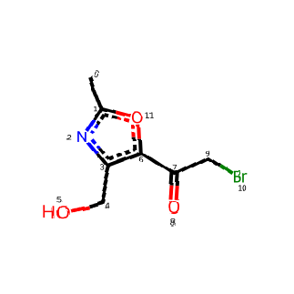 Cc1nc(CO)c(C(=O)CBr)o1